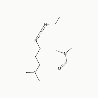 CCN=C=NCCCN(C)C.CN(C)C=O